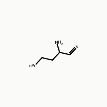 CCCCCC(N)[C]=S